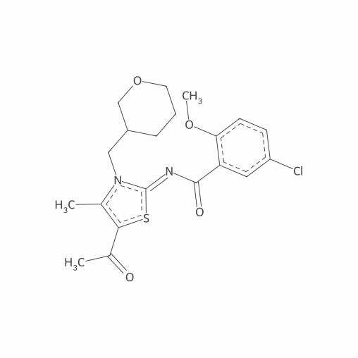 COc1ccc(Cl)cc1C(=O)N=c1sc(C(C)=O)c(C)n1CC1CCCOC1